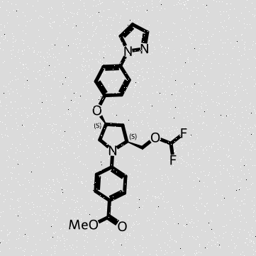 COC(=O)c1ccc(N2C[C@@H](Oc3ccc(-n4cccn4)cc3)C[C@H]2COC(F)F)cc1